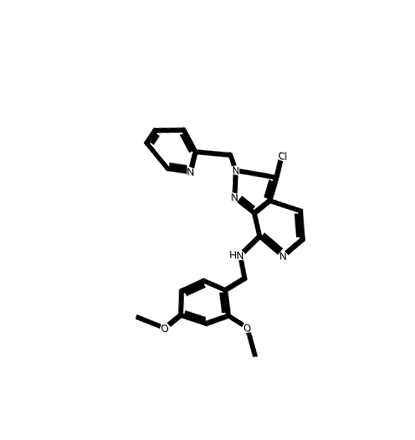 COc1ccc(CNc2nccc3c(Cl)n(Cc4ccccn4)nc23)c(OC)c1